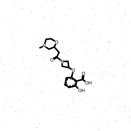 CN1CCOC(CC(=O)N2CC(Oc3cccc(O)c3C(=O)O)C2)C1